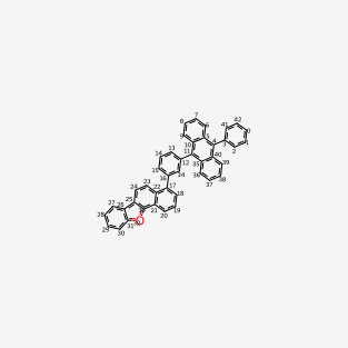 c1ccc(-c2c3ccccc3c(-c3cccc(-c4cccc5c4ccc4c6ccccc6oc54)c3)c3ccccc23)cc1